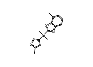 Cc1cc([Si](C)(C)c2nc3cccc(C)c3s2)cs1